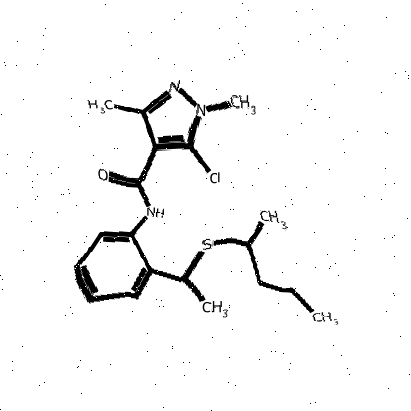 CCCC(C)SC(C)c1ccccc1NC(=O)c1c(C)nn(C)c1Cl